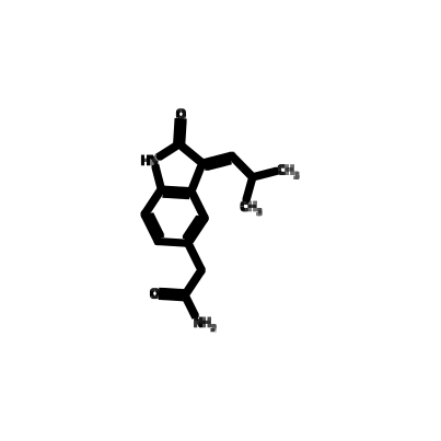 CC(C)/C=C1/C(=O)Nc2ccc(CC(N)=O)cc21